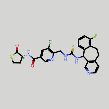 O=C(N[C@@H]1CCSC1=O)c1cnc(CNC(=S)NC2c3cnccc3CCc3c(F)cccc32)c(Cl)c1